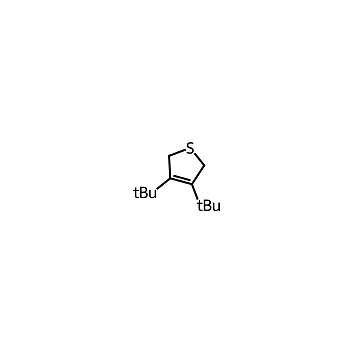 CC(C)(C)C1=C(C(C)(C)C)CSC1